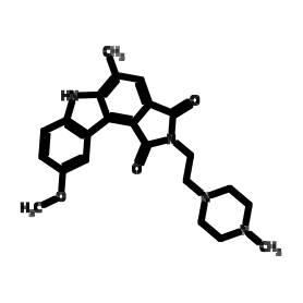 COc1ccc2[nH]c3c(C)cc4c(c3c2c1)C(=O)N(CCN1CCN(C)CC1)C4=O